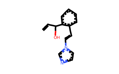 C=CC(O)c1ccccc1C=Cn1ccnc1